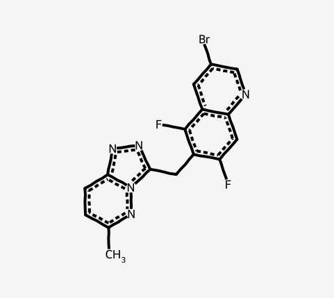 Cc1ccc2nnc(Cc3c(F)cc4ncc(Br)cc4c3F)n2n1